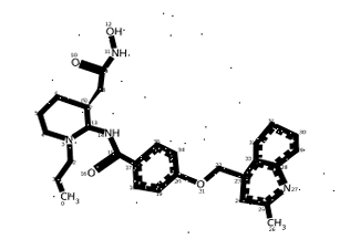 CCCN1CCC[C@@H](CC(=O)NO)C1NC(=O)c1ccc(OCc2cc(C)nc3ccccc23)cc1